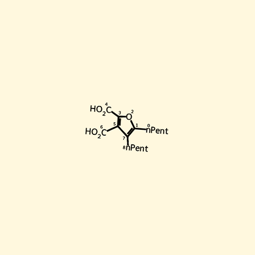 CCCCCc1oc(C(=O)O)c(C(=O)O)c1CCCCC